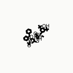 CCO[C@@]1(N=Cc2cc(C(C)(C)C)c(O)c(C(C)(C)C)c2)C(=O)N2C(C(=O)OC(c3ccccc3)c3ccccc3)=C(COC(C)=O)CS[C@H]21